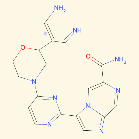 N=C/C(=C\N)C1CN(c2ccnc(-c3cnc4cnc(C(N)=O)cn34)n2)CCO1